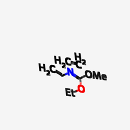 C=C.C=CN=C(OC)OCC